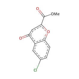 COC(=O)c1cc(=O)c2cc(Cl)ccc2o1